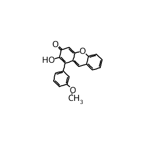 COc1cccc(-c2c3cc4ccccc4oc-3cc(=O)c2O)c1